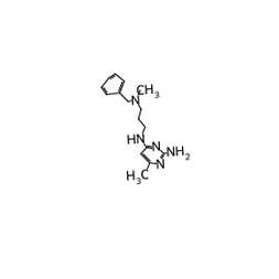 Cc1cc(NCCCN(C)Cc2ccccc2)nc(N)n1